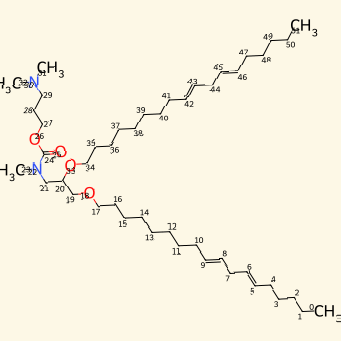 CCCCCC=CCC=CCCCCCCCCOCC(CN(C)C(=O)OCCCN(C)C)OCCCCCCCCC=CCC=CCCCCC